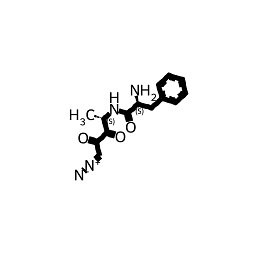 C[C@H](NC(=O)[C@@H](N)Cc1ccccc1)C(=O)C(=O)C=[N+]=[N-]